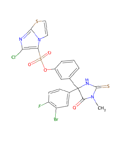 CN1C(=O)C(c2cccc(OS(=O)(=O)c3c(Cl)nc4sccn34)c2)(c2ccc(F)c(Br)c2)NC1=S